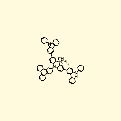 CC1(C)C2C=C(C3=CC4C5=C(CCCC5)N(C5CC=CCC5)C4C=C3)C=CC2N(C2=CC3=C(CC2)C2=C(C=CCC2)C2C=CC=CC32)C2C=CC(C3C=C(C4=CC=CCC4)C(NC4=CCCCC4)=CC3)=CC21